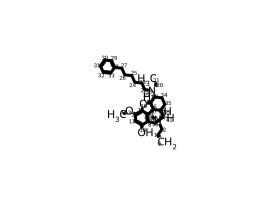 C=CCN1CC[C@]23c4c5c(O)cc(OC)c4O[C@H]2[C@H](N(CC)CCCCCCc2ccccc2)CC[C@H]3[C@H]1C5